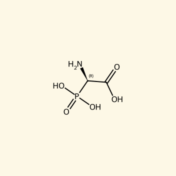 N[C@@H](C(=O)O)P(=O)(O)O